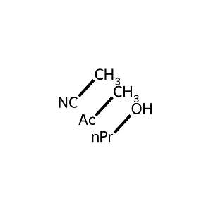 CC#N.CC(C)=O.CCCO